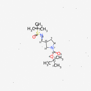 CC(C)(C)OC(=O)N1CCC(C=N[S@@+]([O-])C(C)(C)C)C1